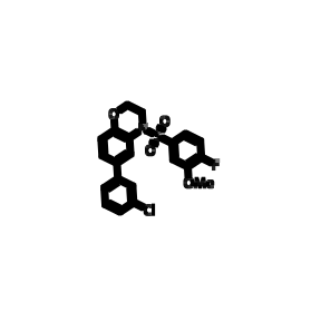 COc1cc(S(=O)(=O)N2CCOc3ccc(-c4cccc(Cl)c4)cc32)ccc1F